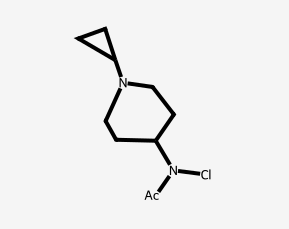 CC(=O)N(Cl)C1CCN(C2CC2)CC1